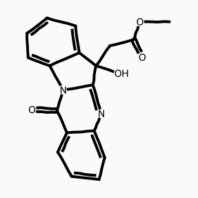 COC(=O)CC1(O)c2ccccc2-n2c1nc1ccccc1c2=O